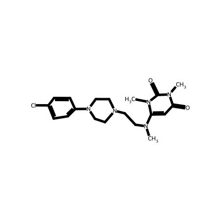 CN(CCN1CCN(c2ccc(Cl)cc2)CC1)c1cc(=O)n(C)c(=O)n1C